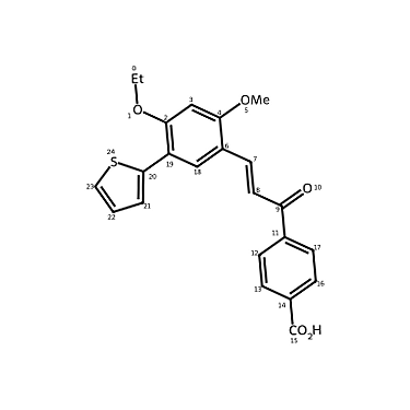 CCOc1cc(OC)c(C=CC(=O)c2ccc(C(=O)O)cc2)cc1-c1cccs1